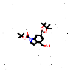 CC(C)(C)OC(=O)n1ccc2c(CO)cc(B3OC(C)(C)C(C)(C)O3)cc21